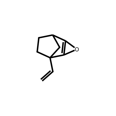 C=CC12CCC(C1)C1=C2O1